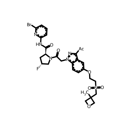 CC(=O)c1nn(CC(=O)N2C[C@H](F)C[C@H]2C(=O)Nc2cccc(Br)n2)c2ccc(OCCS(=O)(=O)CC3(C)COC3)cc12